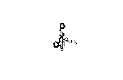 CCOC(=O)C1(CNc2ncccc2[N+](=O)[O-])CCN(Cc2ccccc2)C1